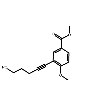 COC(=O)c1ccc(OC)c(C#CCCCO)c1